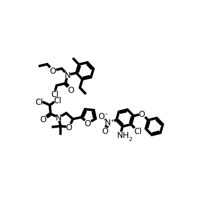 CC1(C)OC(c2ccco2)CN1C(=O)C(Cl)Cl.CCOCN(C(=O)CCl)c1c(C)cccc1CC.Nc1c([N+](=O)[O-])ccc(Oc2ccccc2)c1Cl